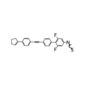 Fc1cc(N=C=S)cc(F)c1-c1ccc(C#Cc2ccc(C3=CCCC3)cc2)cc1